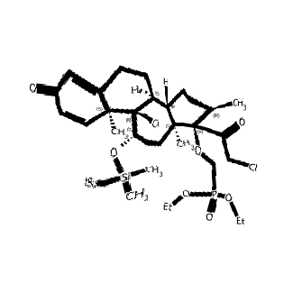 CCOP(=O)(CO[C@]1(C(=O)CCl)[C@H](C)C[C@H]2[C@@H]3CCC4=CC(=O)C=C[C@]4(C)[C@@]3(Cl)[C@@H](O[Si](C)(C)C(C)(C)C)C[C@@]21C)OCC